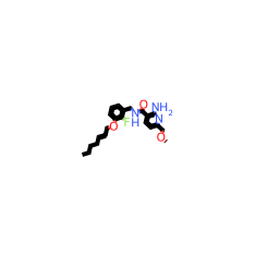 CCCCC=CCOc1cccc(CNC(=O)c2ccc(COC)nc2N)c1F